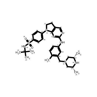 Cc1ccc(Nc2ncc3c(n2)N(c2ccc(S(=O)(=O)NC(C)(C)C)cc2)CC3)cc1CN1C[C@@H](C)N[C@@H](C)C1